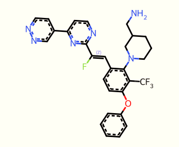 NCC1CCCN(c2c(/C=C(\F)c3nccc(-c4ccnnc4)n3)ccc(Oc3ccccc3)c2C(F)(F)F)C1